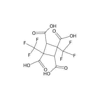 O=C(O)C1C(C(=O)O)(C(F)(F)F)C(C(=O)O)C1(C(=O)O)C(F)(F)F